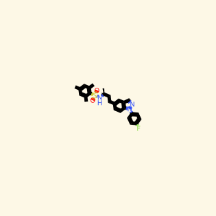 Cc1cc(C)c(S(=O)(=O)N[C@@H](C)CCc2ccc3c(cnn3-c3ccc(F)cc3)c2)c(C)c1